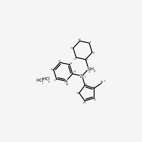 Cl.Cl.FC1=[C]([Zr]([SiH2]C2CCCCC2)[c]2ccccn2)CC=C1